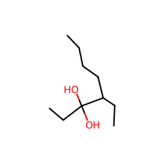 CCCCC(CC)C(O)(O)CC